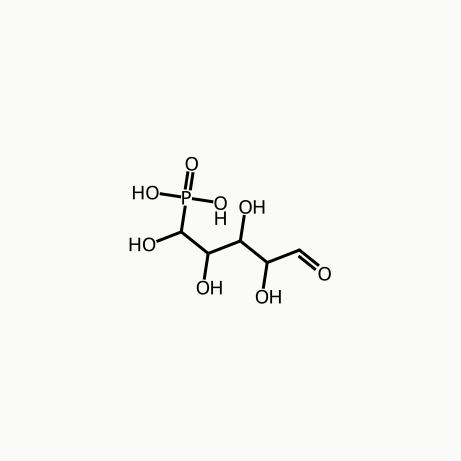 O=CC(O)C(O)C(O)C(O)P(=O)(O)O